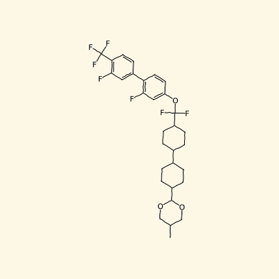 CC1COC(C2CCC(C3CCC(C(F)(F)Oc4ccc(-c5ccc(C(F)(F)F)c(F)c5)c(F)c4)CC3)CC2)OC1